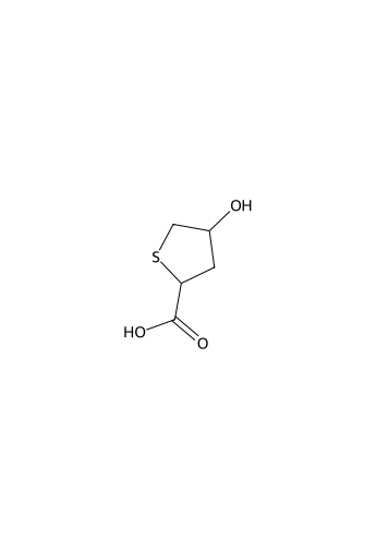 O=C(O)C1CC(O)CS1